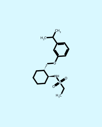 CCS(=O)(=O)N[C@H]1CCCC[C@@H]1COc1cccc(C(C)C)c1